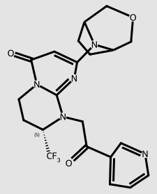 O=C(CN1c2nc(N3C4CCC3COC4)cc(=O)n2CC[C@H]1C(F)(F)F)c1cccnc1